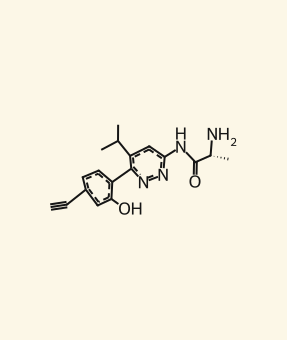 C#Cc1ccc(-c2nnc(NC(=O)[C@@H](C)N)cc2C(C)C)c(O)c1